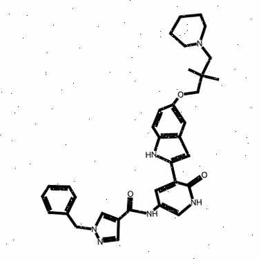 CC(C)(COc1ccc2[nH]c(-c3cc(NC(=O)c4cnn(Cc5ccccc5)c4)c[nH]c3=O)cc2c1)CN1CCCCC1